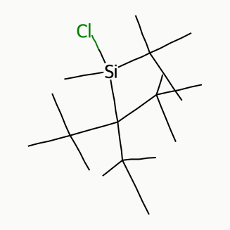 CC(C)(C)C(C(C)(C)C)(C(C)(C)C)[Si](C)(Cl)C(C)(C)C